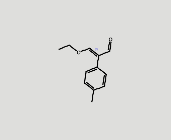 CCO/C=C(/C=O)c1ccc(C)cc1